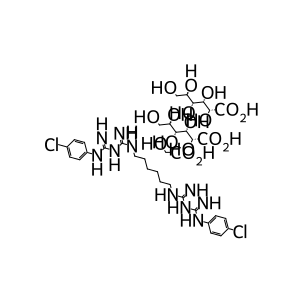 N=C(NCCCCCCNC(=N)NC(=N)Nc1ccc(Cl)cc1)NC(=N)Nc1ccc(Cl)cc1.O=C(O)CO.O=C(O)[C@H](O)[C@@H](O)[C@H](O)[C@H](O)CO.O=C(O)[C@H](O)[C@@H](O)[C@H](O)[C@H](O)CO